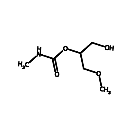 CNC(=O)OC(CO)COC